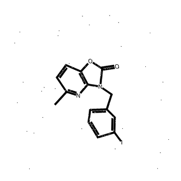 Cc1ccc2oc(=O)n(Cc3cccc(I)c3)c2n1